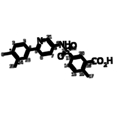 Cc1ccc(-c2ccc(NS(=O)(=O)c3ccc(C)c(C(=O)O)c3)cn2)cc1C